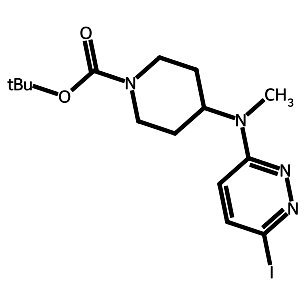 CN(c1ccc(I)nn1)C1CCN(C(=O)OC(C)(C)C)CC1